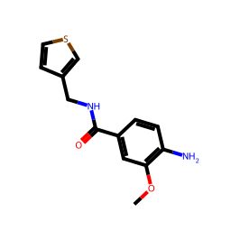 COc1cc(C(=O)NCc2ccsc2)ccc1N